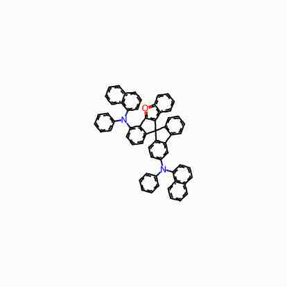 c1ccc(N(c2ccc3c(c2)-c2ccccc2C32c3cccc(N(c4ccccc4)c4cccc5ccccc45)c3-c3oc4ccccc4c32)c2cccc3ccccc23)cc1